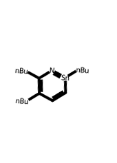 CCCCC1=C(CCCC)[N]=[Sn]([CH2]CCC)[CH]=C1